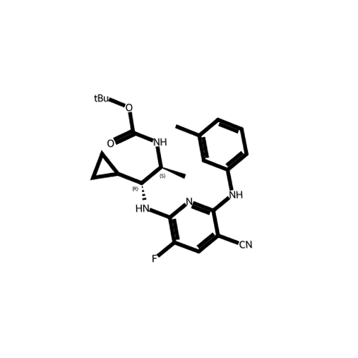 Cc1cccc(Nc2nc(N[C@H](C3CC3)[C@H](C)NC(=O)OC(C)(C)C)c(F)cc2C#N)c1